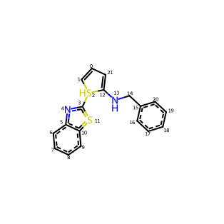 C1=C[SH](c2nc3ccccc3s2)C(NCc2ccccc2)=C1